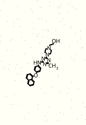 Cc1nc(Nc2ccc(Oc3cccc4ccccc34)cc2)nc(N2CCN(CCO)CC2)n1